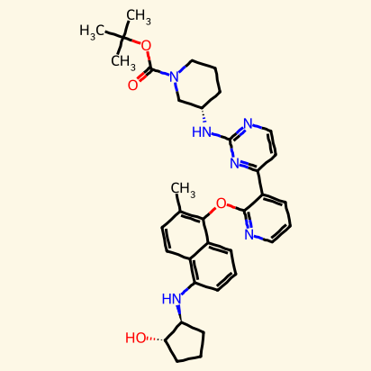 Cc1ccc2c(N[C@H]3CCC[C@@H]3O)cccc2c1Oc1ncccc1-c1ccnc(N[C@H]2CCCN(C(=O)OC(C)(C)C)C2)n1